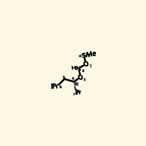 CSONO[C@@H](CC(C)C)C(C)C